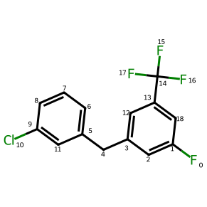 Fc1cc(Cc2cccc(Cl)c2)cc(C(F)(F)F)c1